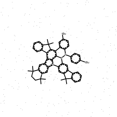 CC(C)(C)c1ccc(N2B3c4cc5c(cc4-n4c6cc7c(cc6c6c8c(c(c3c64)-c3cc(C(C)(C)C)ccc32)C(C)(C)c2ccccc2-8)C(C)(C)CCC7(C)C)C(C)(C)c2ccccc2-5)cc1